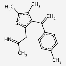 C=C(c1ccc(C)cc1)c1c(CC(C)=N)sc(C)c1C